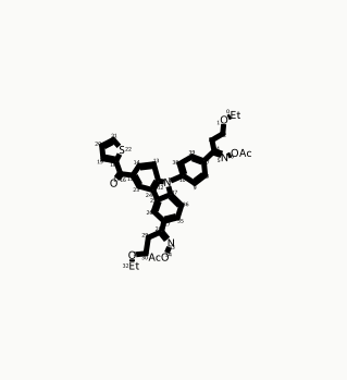 CCOCC/C(=N\OC(C)=O)c1ccc(-n2c3ccc(C(=O)c4cccs4)cc3c3cc(/C(CCOCC)=N/OC(C)=O)ccc32)cc1